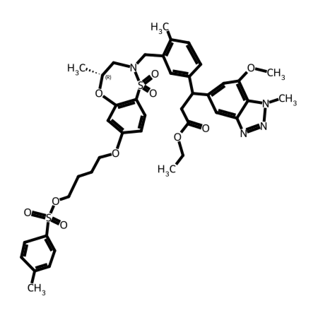 CCOC(=O)CC(c1ccc(C)c(CN2C[C@@H](C)Oc3cc(OCCCCOS(=O)(=O)c4ccc(C)cc4)ccc3S2(=O)=O)c1)c1cc(OC)c2c(c1)nnn2C